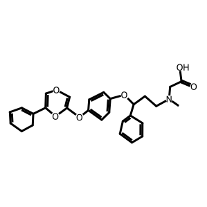 CN(CCC(Oc1ccc(OC2=COC=C(C3=CC=CCC3)O2)cc1)c1ccccc1)CC(=O)O